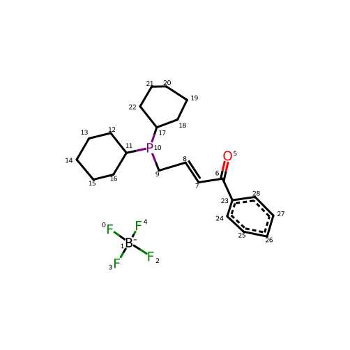 F[B-](F)(F)F.O=C(C=CCP(C1CCCCC1)C1CCCCC1)c1ccccc1